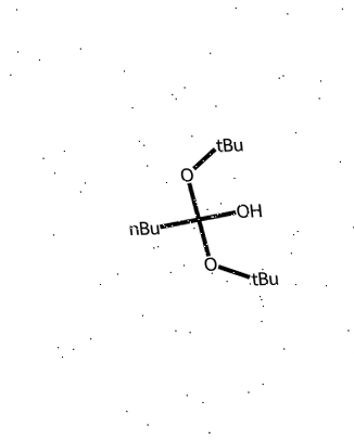 CCCCC(O)(OC(C)(C)C)OC(C)(C)C